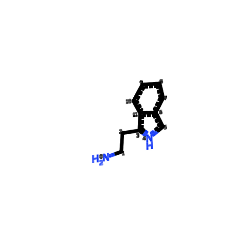 NCCc1[nH]cc2ccccc12